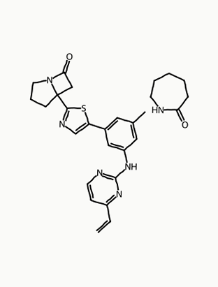 C=Cc1ccnc(Nc2cc(C)cc(-c3cnc(C45CCCN4C(=O)C5)s3)c2)n1.O=C1CCCCCN1